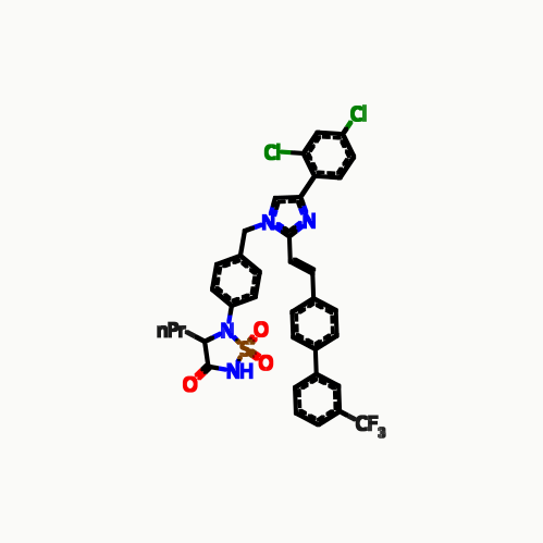 CCCC1C(=O)NS(=O)(=O)N1c1ccc(Cn2cc(-c3ccc(Cl)cc3Cl)nc2C=Cc2ccc(-c3cccc(C(F)(F)F)c3)cc2)cc1